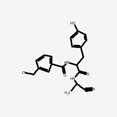 CC(C#N)NC(=O)C(Cc1ccc(O)cc1)NC(=O)c1cccc(CCl)c1